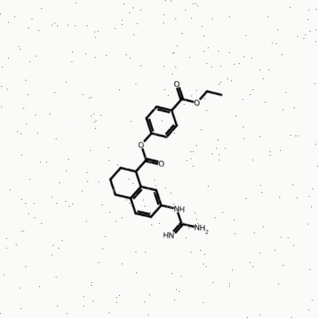 CCOC(=O)c1ccc(OC(=O)C2CCCc3ccc(NC(=N)N)cc32)cc1